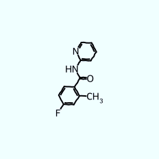 Cc1cc(F)ccc1C(=O)Nc1ccccn1